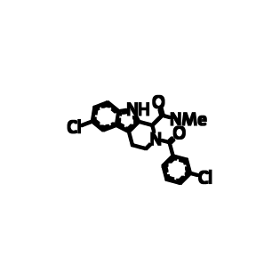 CNC(=O)C1c2[nH]c3ccc(Cl)cc3c2CCN1C(=O)c1cccc(Cl)c1